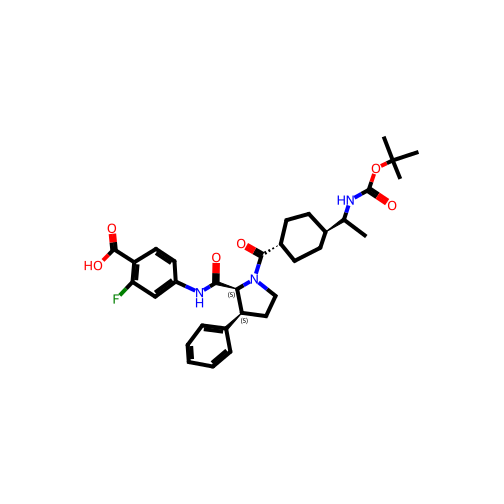 CC(NC(=O)OC(C)(C)C)[C@H]1CC[C@H](C(=O)N2CC[C@@H](c3ccccc3)[C@H]2C(=O)Nc2ccc(C(=O)O)c(F)c2)CC1